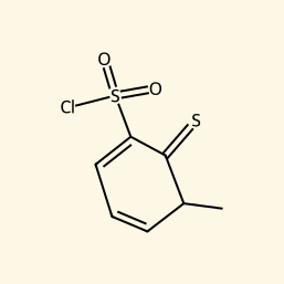 CC1C=CC=C(S(=O)(=O)Cl)C1=S